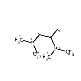 CC(CP(C(F)(F)F)C(F)(F)F)P(C(F)(F)F)C(F)(F)F